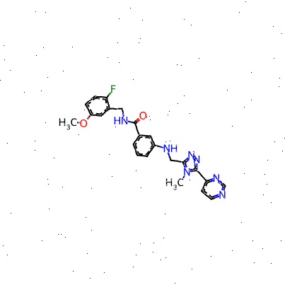 COc1ccc(F)c(CNC(=O)c2cccc(NCc3nnc(-c4ccncn4)n3C)c2)c1